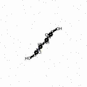 OCCCCOc1ccc(/N=N/c2ccc(NCCNc3ccc(/N=N/c4ccc(OCCCCO)cc4Cl)cc3)cc2)c(Cl)c1